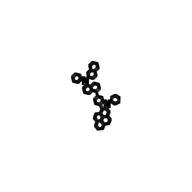 c1ccc(N(c2ccc3ccccc3c2)c2cccc3c(-c4ccc5c6c7ccc8cccc9ccc(cc6n(-c6ccccc6)c5c4)c7c98)cccc23)cc1